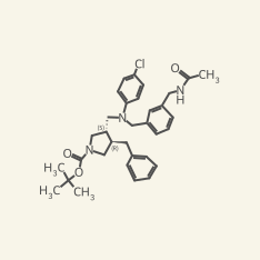 CC(=O)NCc1cccc(CN(C[C@H]2CN(C(=O)OC(C)(C)C)C[C@@H]2Cc2ccccc2)c2ccc(Cl)cc2)c1